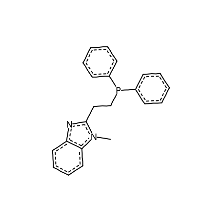 Cn1c(CCP(c2ccccc2)c2ccccc2)nc2ccccc21